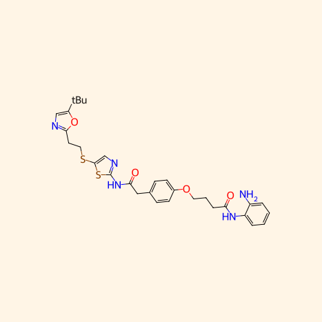 CC(C)(C)c1cnc(CCSc2cnc(NC(=O)Cc3ccc(OCCCC(=O)Nc4ccccc4N)cc3)s2)o1